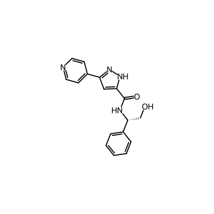 O=C(N[C@H](CO)c1ccccc1)c1cc(-c2ccncc2)n[nH]1